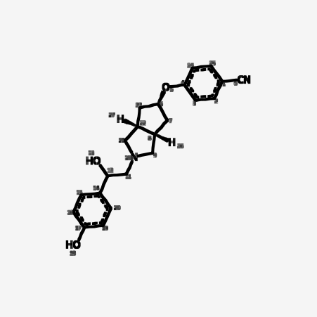 N#Cc1ccc(O[C@H]2C[C@@H]3CN(CC(O)c4ccc(O)cc4)C[C@@H]3C2)cc1